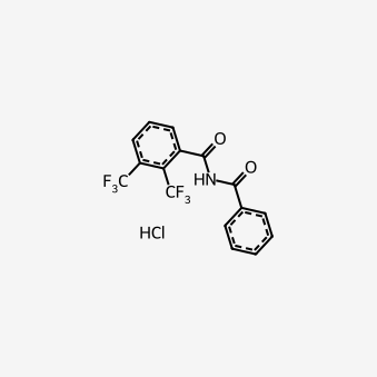 Cl.O=C(NC(=O)c1cccc(C(F)(F)F)c1C(F)(F)F)c1ccccc1